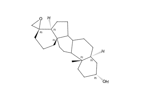 C[C@]12CC[C@@H](O)C[C@@H]1CCC1C3CC[C@@H]4[C@]5(CCC[C@]34CCC12)CO5